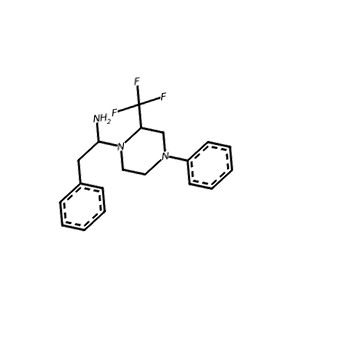 NC(Cc1ccccc1)N1CCN(c2ccccc2)CC1C(F)(F)F